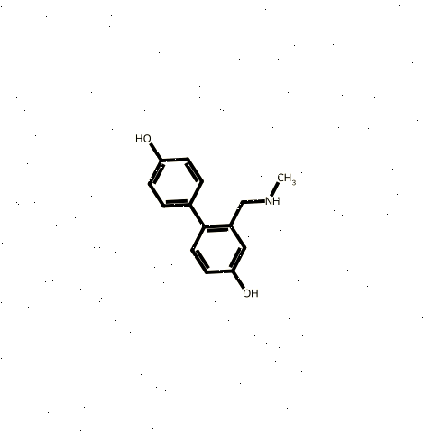 CNCc1cc(O)ccc1-c1ccc(O)cc1